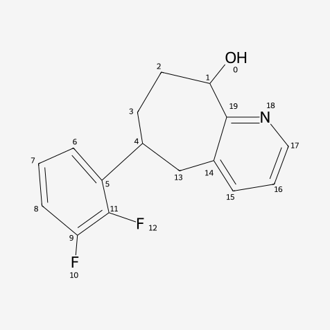 OC1CCC(c2cccc(F)c2F)Cc2cccnc21